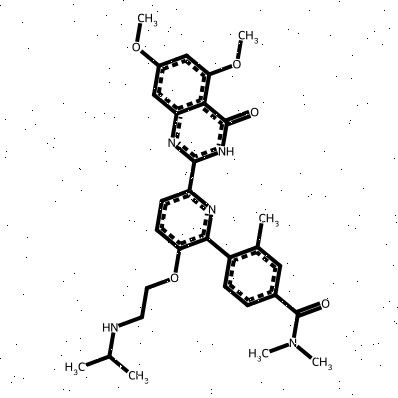 COc1cc(OC)c2c(=O)[nH]c(-c3ccc(OCCNC(C)C)c(-c4ccc(C(=O)N(C)C)cc4C)n3)nc2c1